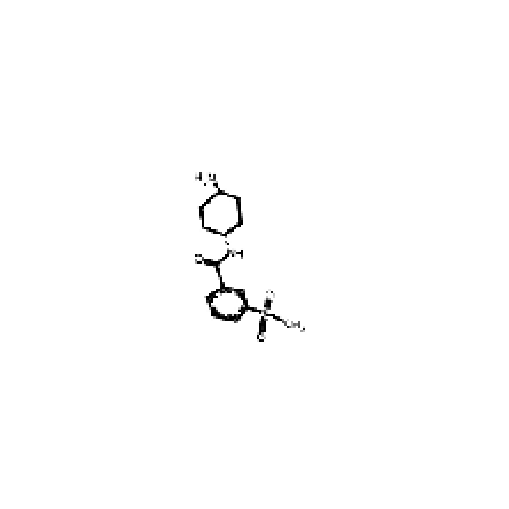 CS(=O)(=O)c1cccc(C(=O)N[C@H]2CC[C@H](N)CC2)c1